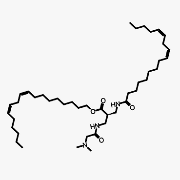 CCCC/C=C\C/C=C\CCCCCCCC(=O)NC[C@@H](CNC(=O)CN(C)C)C(=O)OCCCCCCCC/C=C\C/C=C\CCCCC